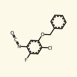 O=C=Nc1cc(OCc2ccccc2)c(Cl)cc1F